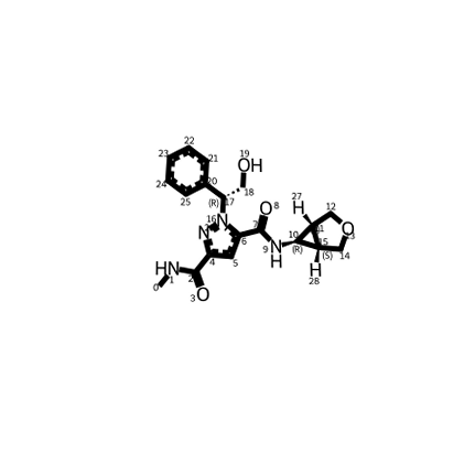 CNC(=O)c1cc(C(=O)N[C@H]2[C@@H]3COC[C@@H]32)n([C@@H](CO)c2ccccc2)n1